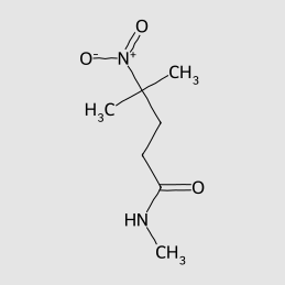 CNC(=O)CCC(C)(C)[N+](=O)[O-]